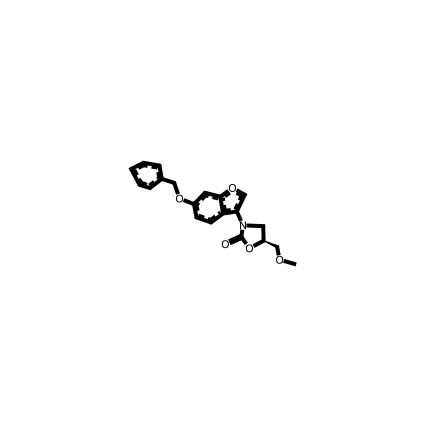 COC[C@@H]1CN(c2coc3cc(OCc4ccccc4)ccc23)C(=O)O1